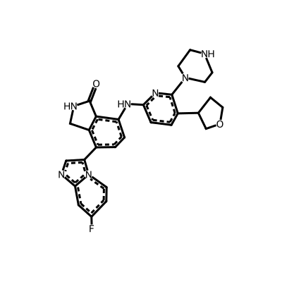 O=C1NCc2c(-c3cnc4cc(F)ccn34)ccc(Nc3ccc(C4CCOC4)c(N4CCNCC4)n3)c21